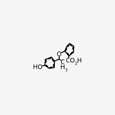 CC(Oc1ccccc1C(=O)O)c1ccc(O)cc1